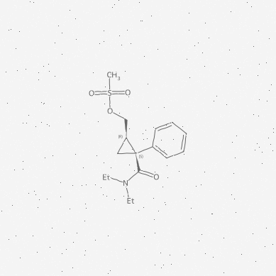 CCN(CC)C(=O)[C@@]1(c2ccccc2)C[C@H]1COS(C)(=O)=O